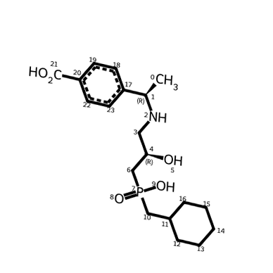 C[C@@H](NC[C@@H](O)CP(=O)(O)CC1CCCCC1)c1ccc(C(=O)O)cc1